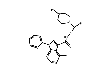 CC(C)C(CNC(=O)c1cn(-c2ccccn2)c2nccc(Cl)c12)N1CCN(C(C)C)CC1